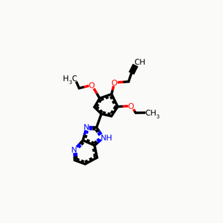 C#CCOc1c(OCC)cc(-c2nc3ncccc3[nH]2)cc1OCC